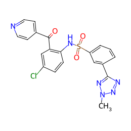 Cn1nnc(-c2cccc(S(=O)(=O)Nc3ccc(Cl)cc3C(=O)c3ccncc3)c2)n1